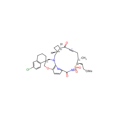 COCC[C@@H]1[C@@H](C)C/C=C/C(=O)[C@@H]2CC[C@H]2CN2C[C@@]3(CCCc4cc(Cl)ccc43)COc3ccc(nc32)C(=O)NS1(=O)=O